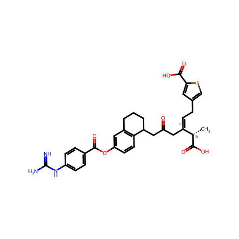 C[C@H](C(=O)O)/C(=C\Cc1csc(C(=O)O)c1)CC(=O)CC1CCCc2cc(OC(=O)c3ccc(NC(=N)N)cc3)ccc21